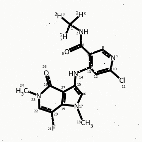 [2H]C([2H])([2H])NC(=O)c1cnc(Cl)cc1Nc1cn(C)c2c(F)cn(C)c(=O)c12